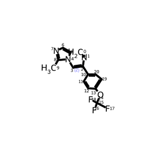 C=N/C(=C\n1ccnc1C)c1ccc(OC(F)(F)F)cc1